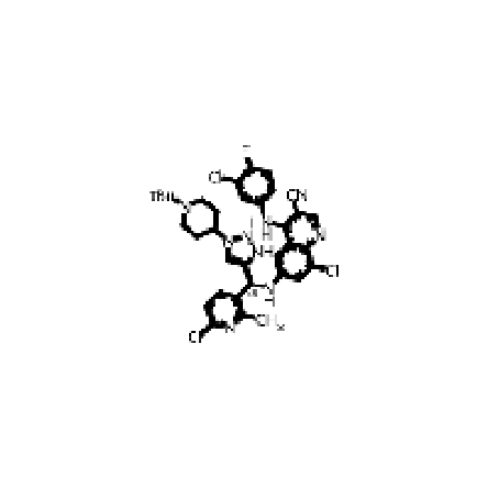 Cc1nc(Cl)ccc1[C@H](Nc1cc(Cl)c2ncc(C#N)c(Nc3ccc(F)c(Cl)c3)c2c1)C1=CN(C2CCN(C(C)(C)C)CC2)NN1